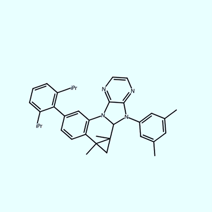 Cc1cc(C)cc(N2c3nccnc3N3c4cc(-c5c(C(C)C)cccc5C(C)C)ccc4C4(C)CC4(C)C23)c1